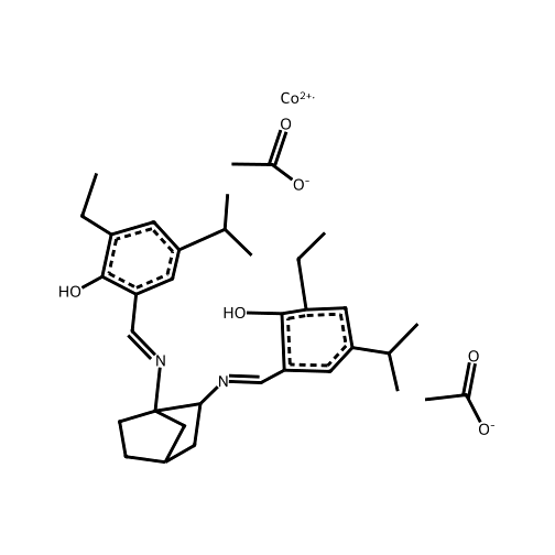 CC(=O)[O-].CC(=O)[O-].CCc1cc(C(C)C)cc(C=NC2CC3CCC2(N=Cc2cc(C(C)C)cc(CC)c2O)C3)c1O.[Co+2]